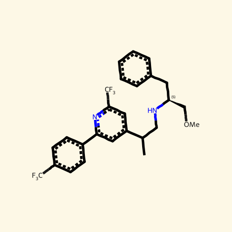 COC[C@H](Cc1ccccc1)NCC(C)c1cc(-c2ccc(C(F)(F)F)cc2)nc(C(F)(F)F)c1